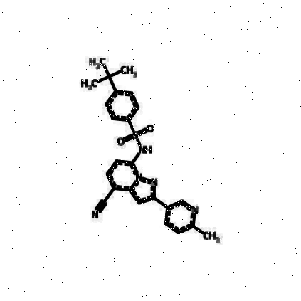 Cc1ccc(-c2cc3c(C#N)ccc(NS(=O)(=O)c4ccc(C(C)(C)C)cc4)n3n2)cn1